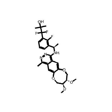 CO[C@H]1COc2cc3c(C)nnc(N[C@H](C)c4cccc(C(F)(F)C(C)(C)O)c4F)c3cc2OC[C@@H]1OC